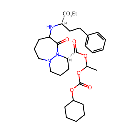 CCOC(=O)[C@H](CCc1ccccc1)NC1CCCN2CCC[C@@H](C(=O)OC(C)OC(=O)OC3CCCCC3)N2C1=O